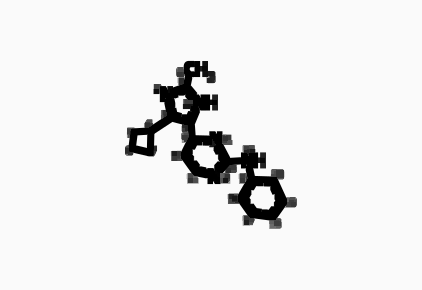 Cc1nc(C2CCC2)c(-c2ccnc(Nc3ccccc3)n2)[nH]1